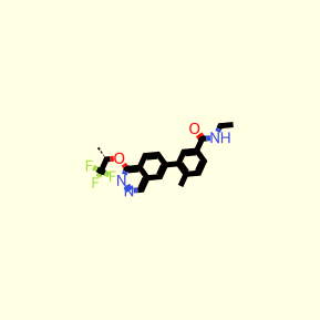 CCNC(=O)c1ccc(C)c(-c2ccc3c(O[C@@H](C)C(F)(F)F)nncc3c2)c1